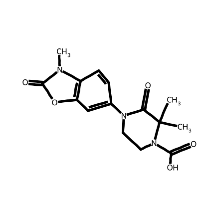 Cn1c(=O)oc2cc(N3CCN(C(=O)O)C(C)(C)C3=O)ccc21